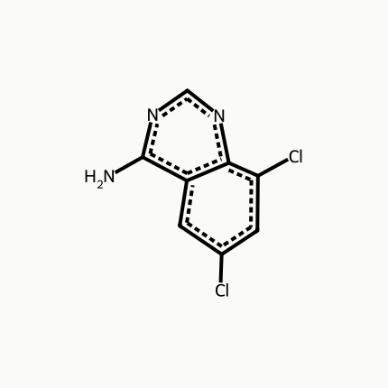 Nc1ncnc2c(Cl)cc(Cl)cc12